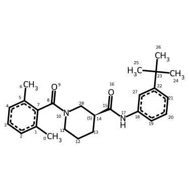 Cc1cccc(C)c1C(=O)N1CCC[C@H](C(=O)Nc2cccc(C(C)(C)C)c2)C1